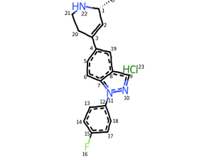 C[C@@H]1C=C(c2ccc3c(cnn3-c3ccc(F)cc3)c2)CCN1.Cl